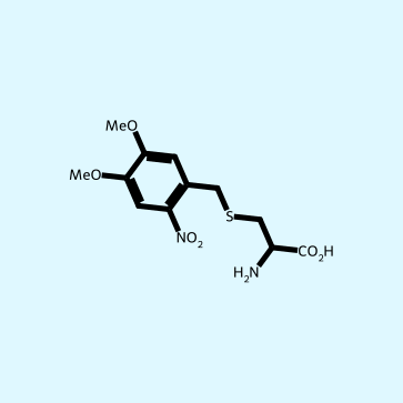 COc1cc(CSCC(N)C(=O)O)c([N+](=O)[O-])cc1OC